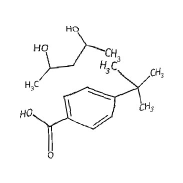 CC(C)(C)c1ccc(C(=O)O)cc1.CC(O)CC(C)O